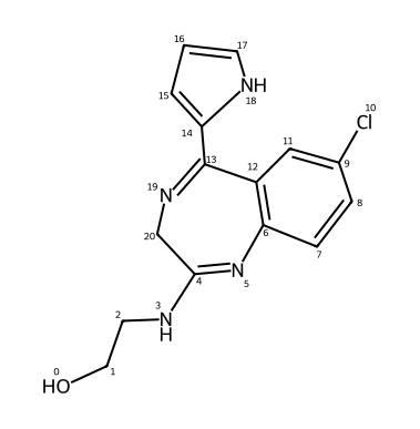 OCCNC1=Nc2ccc(Cl)cc2C(c2ccc[nH]2)=NC1